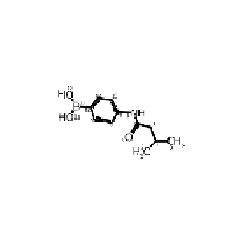 CC(C)CC(=O)Nc1ccc(B(O)O)cc1